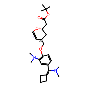 CN(C)C(=C1CCC1)c1ccc(OC[C@@H](/C=C\O)CCCC(=O)OC(C)(C)C)c(N(C)C)c1